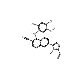 COc1cc(Nc2c(C#N)cnc3cc(-c4ccc(C=O)n4C)ccc23)c(Cl)cc1Cl